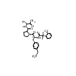 CC(C)C(NC(=O)C1CCCN1C(=O)[C@H](Cc1ccc(CN)cc1)NC(=O)C(F)(F)c1ccccc1C(F)(F)F)C(=O)C(F)(F)F